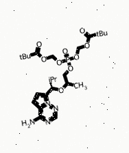 CC(COP(=O)(OCOC(=O)C(C)(C)C)OCOC(=O)C(C)(C)C)O[C@@H](c1ccc2c(N)ncnn12)C(C)C